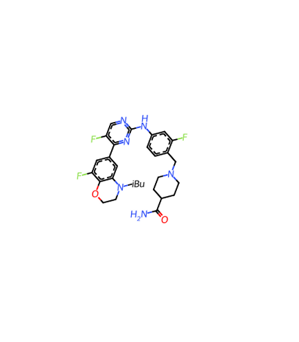 CCC(C)N1CCOc2c(F)cc(-c3nc(Nc4ccc(CN5CCC(C(N)=O)CC5)c(F)c4)ncc3F)cc21